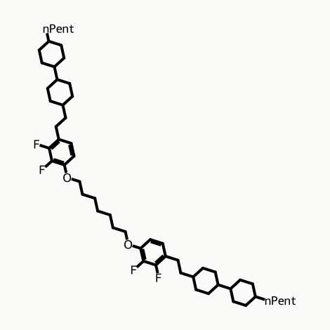 CCCCCC1CCC(C2CCC(CCc3ccc(OCCCCCCCOc4ccc(CCC5CCC(C6CCC(CCCCC)CC6)CC5)c(F)c4F)c(F)c3F)CC2)CC1